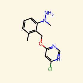 Cc1cccc(N(C)N)c1COc1cc(Cl)ncn1